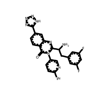 CC(C)c1ccc(-n2c(C(N)Cc3cc(F)cc(F)c3)nc3cc(-c4nnn[nH]4)ccc3c2=O)cn1